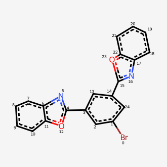 Brc1cc(-c2nc3ccccc3o2)cc(-c2nc3ccccc3o2)c1